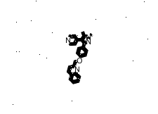 Cc1c(-c2ccncc2)c(-c2ccc(OCc3ccc4ccccc4n3)cc2)nn1C